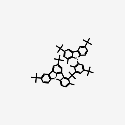 Cc1ccc2c(c1C(C)(C)c1cc(C(C)(C)C)cc(-n3c4ccc(C(C)(C)C)cc4c4cc(C(C)(C)C)cc(C)c43)c1C)c1cc(C(C)(C)C)cc3c4cc(C(C)(C)C)ccc4n2c31